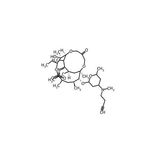 C#CCCN(C)C1CC(C)OC(O[C@@H]2[C@@H](C)CC(C)C(=O)OC(CC)[C@@](C)(O)[C@H]3OCC(=O)CO[C@]2(C)C[C@@H](C)/C(=N\C(C)=O)C3C)C1